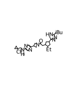 CCC(C)C1=NN=C(C2CC(CC)C(CC(=O)N3CC(c4cnc(NCC5(C(F)(F)F)CC5)cn4)C3)C2)CN1